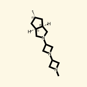 C[C@H]1C[C@@H]2CN(C3CN(C4CN(C)C4)C3)C[C@@H]2C1